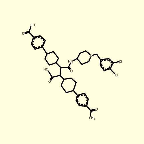 CC(=O)c1ccc(C2CCC(C(C(=O)O)C(C(=O)NC3CCN(Cc4ccc(Cl)c(Cl)c4)CC3)C3CCC(c4ccc(C(C)=O)cc4)CC3)CC2)cc1